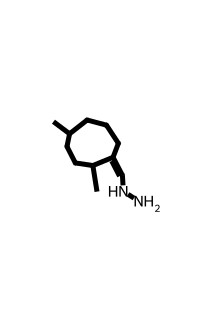 CC1CCC/C(=C/NN)C(C)CC1